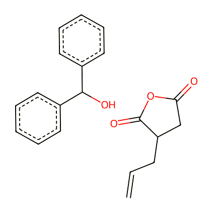 C=CCC1CC(=O)OC1=O.OC(c1ccccc1)c1ccccc1